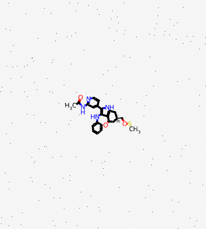 CSOC[C@H]1CC(=O)c2c([nH]c(-c3ccnc(NC(C)=O)c3)c2Nc2ccccc2)C1